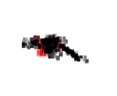 CCCCCCCCCC(=O)O[C@@]12CC(C)C34C=C(C)[C@H](O)[C@@]3(O)[C@H](O)C(COC(=O)C(C)(C)C)=C[C@H](C4=O)[C@@H]1C2(C)C